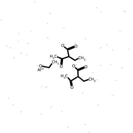 CCC(C(C)=O)C(=O)[O-].CCC(C(C)=O)C(=O)[O-].CC[O-].[Al+3]